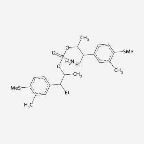 CCC(c1ccc(SC)c(C)c1)C(C)OP(N)(=O)OC(C)C(CC)c1ccc(SC)c(C)c1